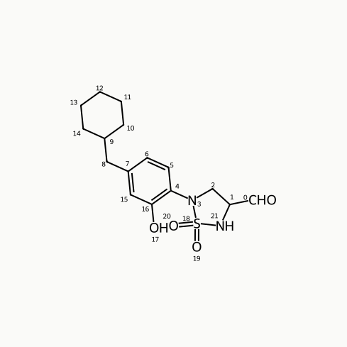 O=CC1CN(c2ccc(CC3CCCCC3)cc2O)S(=O)(=O)N1